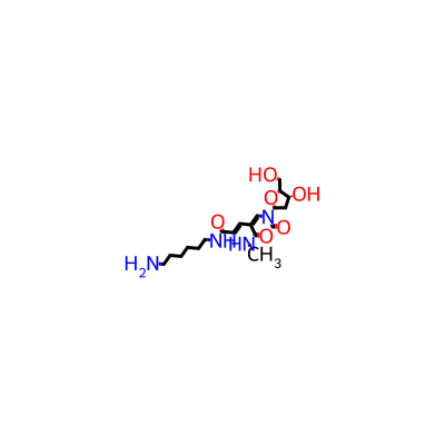 CNC(=O)C(=C\N(C=O)[C@H]1C[C@@H](O)C(CO)O1)/C=C/C(=O)NCCCCCCN